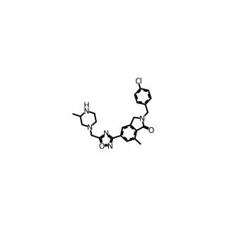 Cc1cc(-c2noc(CN3CCNC(C)C3)n2)cc2c1C(=O)N(Cc1ccc(Cl)cc1)C2